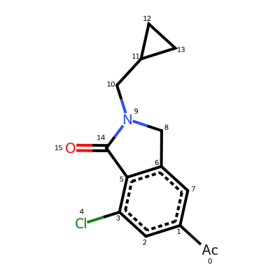 CC(=O)c1cc(Cl)c2c(c1)CN(CC1CC1)C2=O